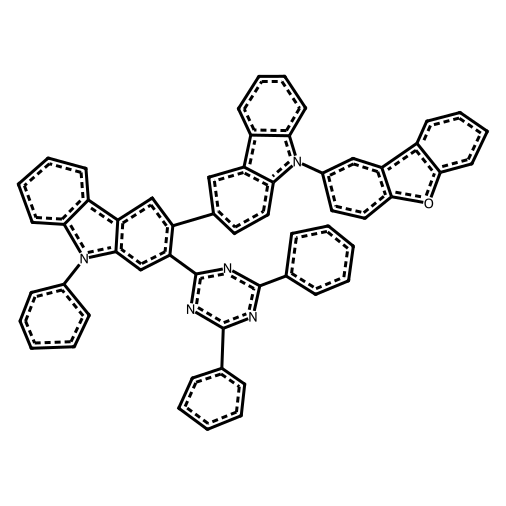 c1ccc(-c2nc(-c3ccccc3)nc(-c3cc4c(cc3-c3ccc5c(c3)c3ccccc3n5-c3ccc5oc6ccccc6c5c3)c3ccccc3n4-c3ccccc3)n2)cc1